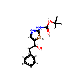 CC(C)(C)OC(=O)Nc1ncc(C(O)Cc2ccccc2)s1